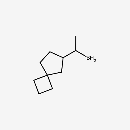 BC(C)C1CCC2(CCC2)C1